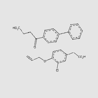 C=CCOc1ccc(CC(=O)O)cc1Cl.O=C(O)CCC(=O)c1ccc(-c2ccccc2)cc1